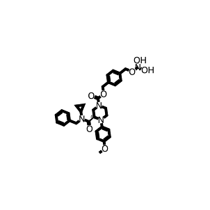 COc1ccc(N2CCN(C(=O)OCc3ccc(CON(O)O)cc3)C[C@@H]2C(=O)N(Cc2ccccc2)C2CC2)cc1